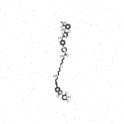 CNC(=O)c1ccccc1Nc1nc(Nc2ccc(N3CCN(C(=O)NCCCCOCCCCNCCC#Cc4ccc5c(c4)CN(C4CCC(=O)NC4=O)C5=O)CC3)cc2)ncc1Cl